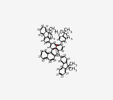 CC(C)(C)c1ccc(-c2ccc(N(c3ccc4c(c3)-c3ccccc3C4(C)C)c3ccc4ccccc4c3-c3cccc(-c4ccc5c(c4)C(C)(C)c4ccccc4-5)c3)cc2)cc1